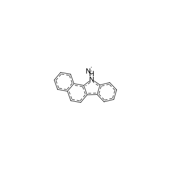 [N].c1ccc2c(c1)ccc1c3ccccc3[nH]c21